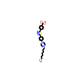 COCCCCCCCN1CCN(c2ccc(-c3nnc(-c4ccc(C(=O)OC)cc4)s3)cc2)CC1